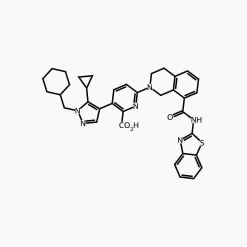 O=C(Nc1nc2ccccc2s1)c1cccc2c1CN(c1ccc(-c3cnn(CC4CCCCC4)c3C3CC3)c(C(=O)O)n1)CC2